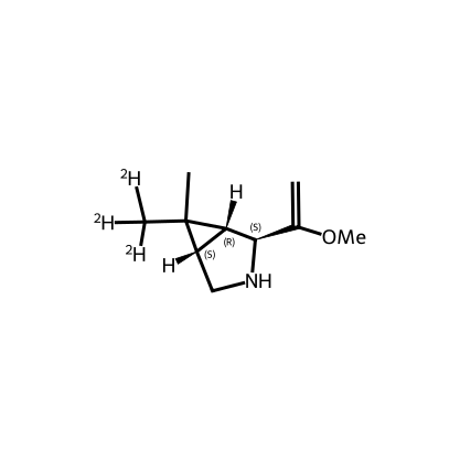 [2H]C([2H])([2H])C1(C)[C@@H]2[C@@H](C(=C)OC)NC[C@@H]21